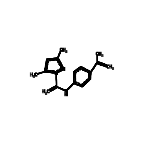 C=C(C)c1ccc(NC(=C)n2nc(C)cc2C)cc1